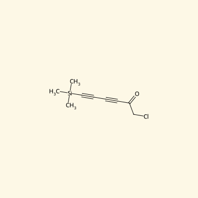 C[Si](C)(C)C#CC#CC(=O)CCl